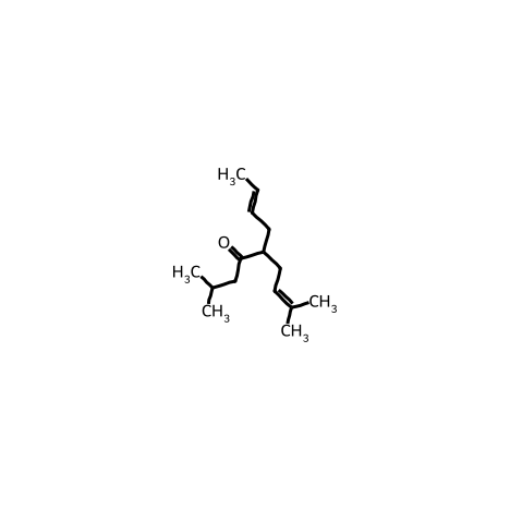 CC=CCC(CC=C(C)C)C(=O)CC(C)C